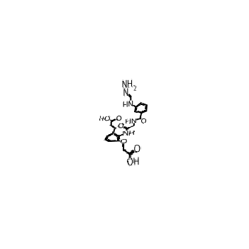 NN=CNc1cccc(C(=O)NCC(=O)Nc2c(CCC(=O)O)cccc2OCC(=O)O)c1